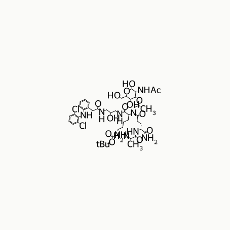 CC(=O)N[C@@H]1[C@@H](OC(C)CN(C(=O)CC[C@@H](NC(=O)[C@H](C)N)C(N)=O)[C@@H](CCCCNC(=O)OC(C)(C)C)C(=O)NCC(O)CNC(=O)Cc2ccccc2Nc2c(Cl)cccc2Cl)[C@H](O)[C@@H](CO)O[C@@H]1O